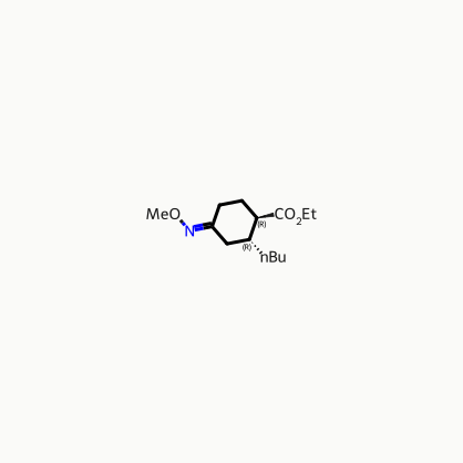 CCCC[C@@H]1CC(=NOC)CC[C@H]1C(=O)OCC